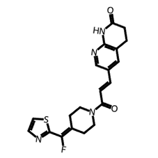 O=C1CCc2cc(/C=C/C(=O)N3CCC(=C(F)c4nccs4)CC3)cnc2N1